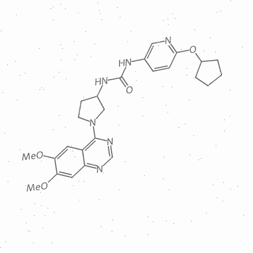 COc1cc2ncnc(N3CCC(NC(=O)Nc4ccc(OC5CCCC5)nc4)C3)c2cc1OC